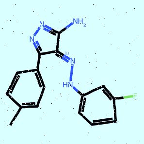 Cc1ccc(C2=NN=C(N)/C2=N/Nc2cccc(F)c2)cc1